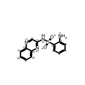 Nc1ccccc1S(=O)(=O)Nc1cnc2ccccc2n1